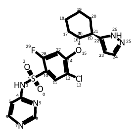 O=S(=O)(Nc1ccncn1)c1cc(Cl)c(O[C@@H]2CCCC[C@H]2c2ccn[nH]2)cc1F